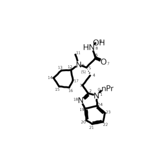 CCCn1c(CC[C@@H](C(=O)NO)N(C)C2CCCCC2)nc2ccccc21